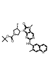 Cc1cc2ncccc2cc1Nc1ncc2c(n1)n([C@@H]1CN(C(=O)OC(C)(C)C)C[C@H]1F)c(=O)n2C